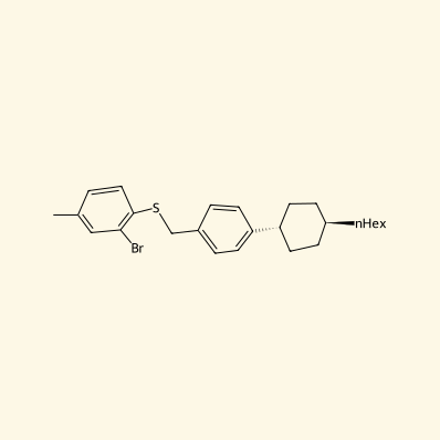 CCCCCC[C@H]1CC[C@H](c2ccc(CSc3ccc(C)cc3Br)cc2)CC1